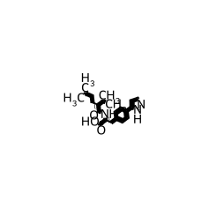 CC(C)CC[C@H](C(=O)N[C@@H](Cc1ccc(-c2ccn[nH]2)cc1)C(=O)O)C(C)C